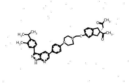 CC(=O)C[C@@]1(C(C)=O)Cc2ccc(CCN3CCN(c4ccc(-c5cnc6[nH]nc(-c7ccc(C(C)C)c(C)c7)c6c5)cc4)CC3)cc2C1